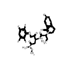 CCC(C(=O)NC(CC(=O)N(C)OC)C(=O)COc1c(F)c(F)cc(F)c1F)n1ccc2ccc(Cl)cc2c1=O